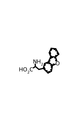 NC(Cc1ccc2oc3ccccc3c2c1)C(=O)O